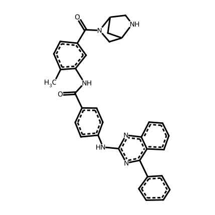 Cc1ccc(C(=O)N2CC3CC2CN3)cc1NC(=O)c1ccc(Nc2nc(-c3ccccc3)c3ccccc3n2)cc1